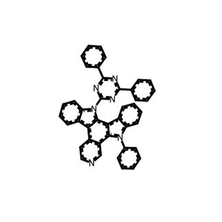 c1ccc(-c2nc(-c3ccccc3)nc(-n3c4ccccc4c4c5ccncc5c5c(c6ccccc6n5-c5ccccc5)c43)n2)cc1